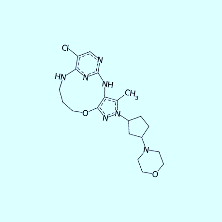 Cc1c2c(nn1C1CCC(N3CCOCC3)C1)OCCCNc1nc(ncc1Cl)N2